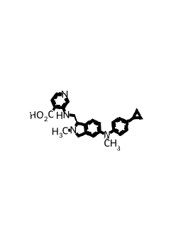 CN(c1ccc(C2CC2)cc1)c1ccc2c(c1)CN(C)[C@H]2CNc1cnccc1C(=O)O